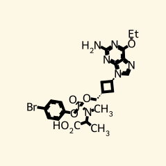 CCOc1nc(N)nc2c1ncn2[C@H]1C[C@@H](COP(=O)(Oc2ccc(Br)cc2)N(C)C(C)C(=O)O)C1